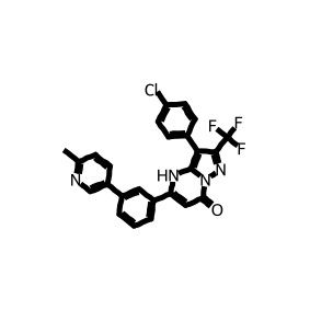 Cc1ccc(-c2cccc(-c3cc(=O)n4nc(C(F)(F)F)c(-c5ccc(Cl)cc5)c4[nH]3)c2)cn1